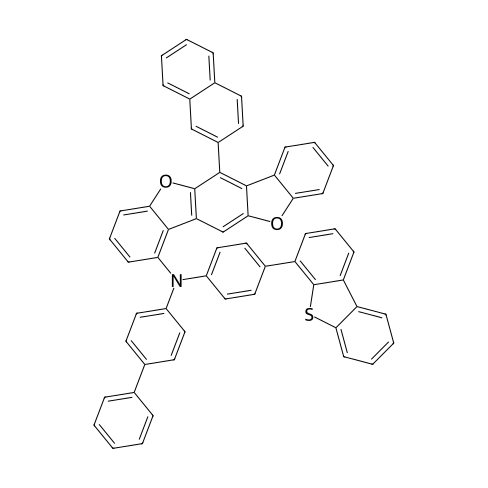 c1ccc(-c2ccc(N(c3ccc(-c4cccc5c4sc4ccccc45)cc3)c3cccc4oc5c(-c6ccc7ccccc7c6)c6c(cc5c34)oc3ccccc36)cc2)cc1